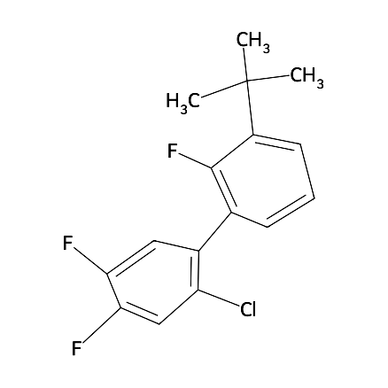 CC(C)(C)c1cccc(-c2cc(F)c(F)cc2Cl)c1F